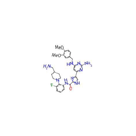 COc1ccc(CNc2cc(-c3c[nH]c(C(=O)Nc4cccc(F)c4N4CCC(CN)CC4)n3)nc(N)n2)cc1OC